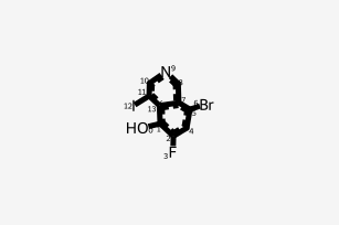 Oc1c(F)cc(Br)c2cncc(I)c12